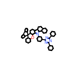 c1ccc(-c2nc(-c3ccccc3)nc(-c3cccc(-n4c5c6c(ccc5c5ccc7ccccc7c54)C4(c5ccccc5O6)c5ccccc5-c5ccccc54)c3)n2)cc1